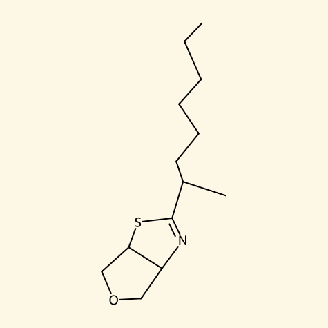 CCCCCCC(C)C1=NC2COCC2S1